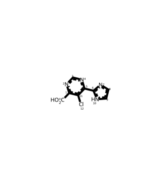 O=C(O)c1ncnc(-c2ncc[nH]2)c1Cl